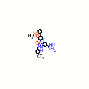 CS(=O)(=O)c1ccccc1-c1ccc(NC(=O)N(Cc2ccc(C(F)(F)F)cc2)Nc2cccc(C(=N)N)c2)c(F)c1